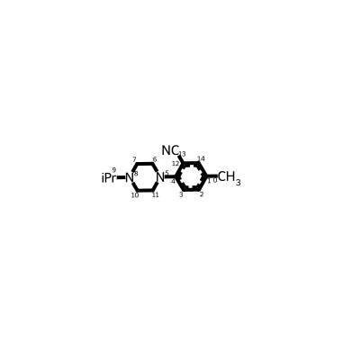 Cc1ccc(N2CCN(C(C)C)CC2)c(C#N)c1